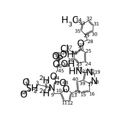 [2H]C([2H])(CC[SH](=O)=O)N(Cc1ccc(-c2ccc3ncnc(Nc4ccc(OCc5cccc(C)c5)c(Cl)c4)c3c2)o1)C(=O)OCOP(=O)(O)O